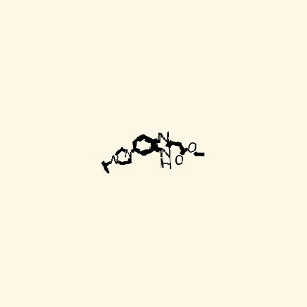 CCOC(=O)Cc1nc2ccc(N3CCN(C(C)C)CC3)cc2[nH]1